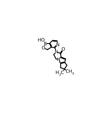 CC1(C)Cc2cc3n(c2C1)CCN(c1nccc2c1COB2O)C3=O